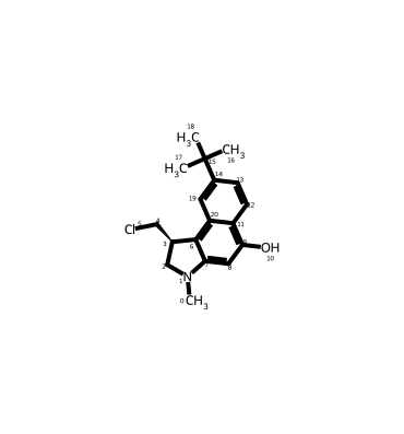 CN1C[C@@H](CCl)c2c1cc(O)c1ccc(C(C)(C)C)cc21